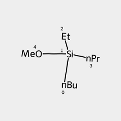 CCCC[Si](CC)(CCC)OC